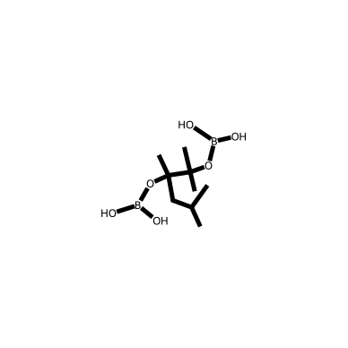 CC(C)CC(C)(OB(O)O)C(C)(C)OB(O)O